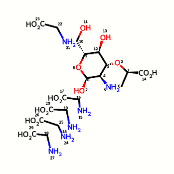 C[C@@H](O[C@@H]1[C@@H](N)[C@@H](O)O[C@H](CO)[C@H]1O)C(=O)O.NCC(=O)O.NCC(=O)O.NCC(=O)O.NCC(=O)O.NCC(=O)O